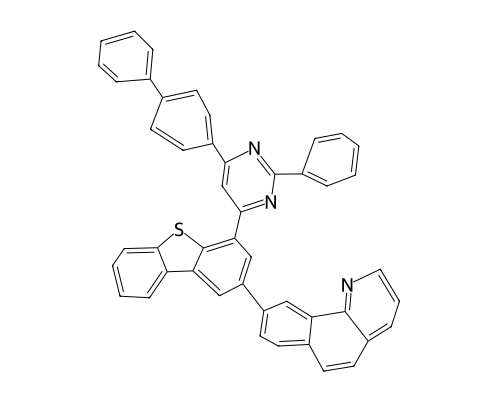 c1ccc(-c2ccc(-c3cc(-c4cc(-c5ccc6ccc7cccnc7c6c5)cc5c4sc4ccccc45)nc(-c4ccccc4)n3)cc2)cc1